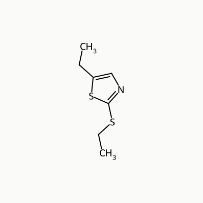 CCSc1ncc(CC)s1